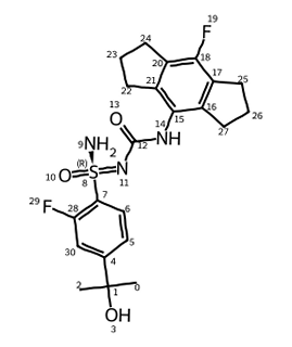 CC(C)(O)c1ccc([S@](N)(=O)=NC(=O)Nc2c3c(c(F)c4c2CCC4)CCC3)c(F)c1